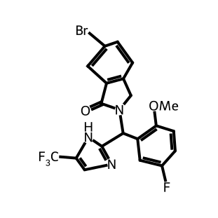 COc1ccc(F)cc1C(c1ncc(C(F)(F)F)[nH]1)N1Cc2ccc(Br)cc2C1=O